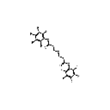 O=C(CCOCCC(=O)Oc1c(F)c(F)c(F)c(F)c1F)Oc1c(F)c(F)c(F)c(F)c1F